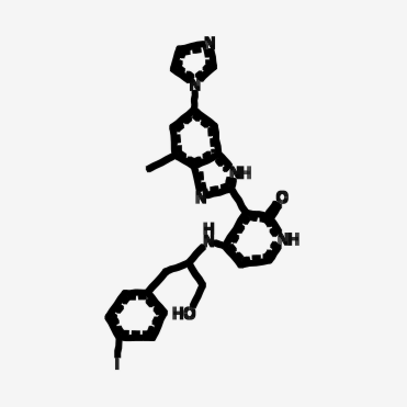 Cc1cc(-n2ccnc2)cc2[nH]c(-c3c(NC(CO)Cc4ccc(I)cc4)cc[nH]c3=O)nc12